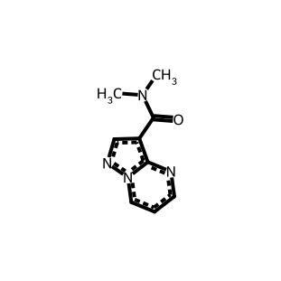 CN(C)C(=O)c1cnn2cccnc12